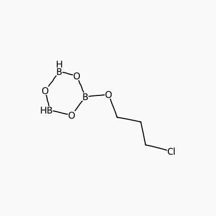 ClCCCOB1OBOBO1